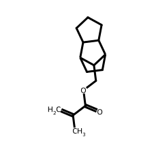 C=C(C)C(=O)OCC1C2CCC1C1CCCC12